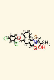 C=C(O)[C@@H]1CSc2c(-c3ccccc3)c(CCCOc3ccc(Cl)cc3Cl)cc(=O)n21